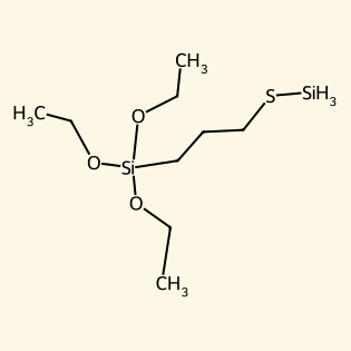 CCO[Si](CCCS[SiH3])(OCC)OCC